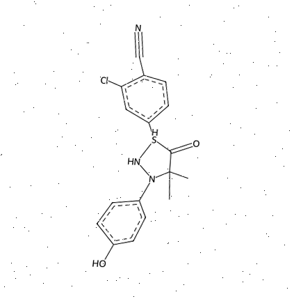 CC1(C)C(=O)[SH](c2ccc(C#N)c(Cl)c2)NN1c1ccc(O)cc1